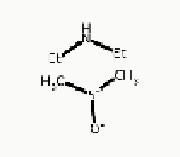 CCNCC.C[S+](C)[O-]